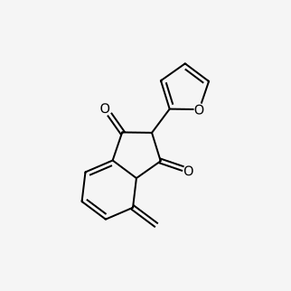 C=C1C=CC=C2C(=O)C(c3ccco3)C(=O)C12